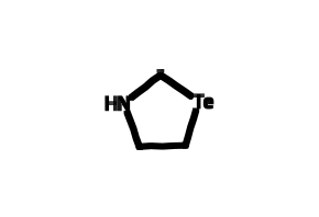 [C]1NCC[Te]1